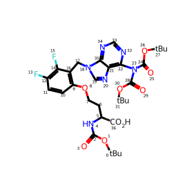 CC(C)(C)OC(=O)NC(CCOc1ccc(F)c(F)c1Cn1cnc2c(N(C(=O)OC(C)(C)C)C(=O)OC(C)(C)C)ncnc21)C(=O)O